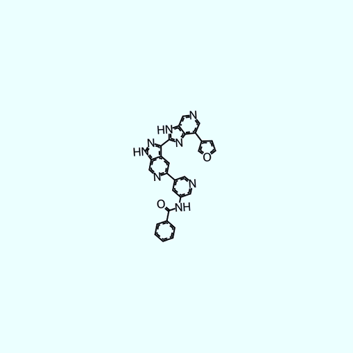 O=C(Nc1cncc(-c2cc3c(-c4nc5c(-c6ccoc6)cncc5[nH]4)n[nH]c3cn2)c1)c1ccccc1